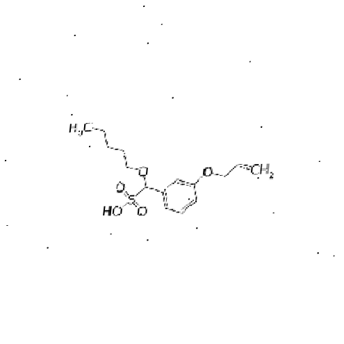 C=CCOc1cccc(C(OCCCCC)S(=O)(=O)O)c1